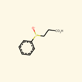 O=C(O)CC[S+]([O-])c1ccccc1